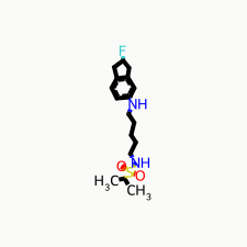 CC(C)S(=O)(=O)NCCCCCNc1ccc2c(c1)CC(F)C2